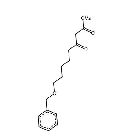 COC(=O)CC(=O)CCCCCOCc1ccccc1